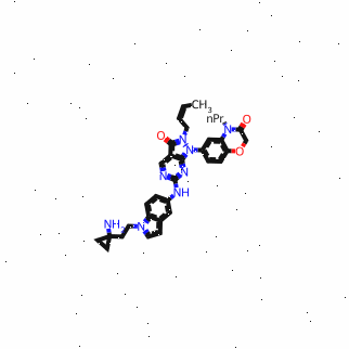 C/C=C\Cn1c(=O)c2cnc(Nc3ccc4c(ccn4CCC4(N)CC4)c3)nc2n1-c1ccc2c(c1)N(CCC)C(=O)CO2